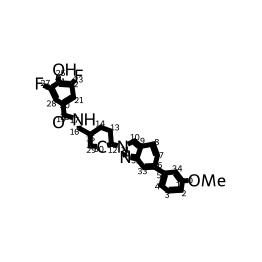 COc1cccc(-c2ccc3cn(C4CCC(CNC(=O)c5cc(F)c(O)c(F)c5)CC4)nc3c2)c1